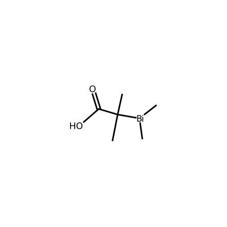 [CH3][Bi]([CH3])[C](C)(C)C(=O)O